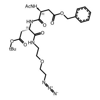 CC(=O)N[C@@H](CC(=O)OCc1ccccc1)C(=O)N[C@@H](CC(=O)OC(C)(C)C)C(=O)NCCOCCN=[N+]=[N-]